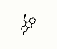 C#CCN1C(=C/C)/C(=C\C=C)Oc2ccccc21